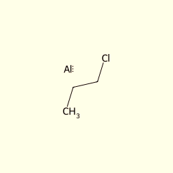 CCCCl.[Al]